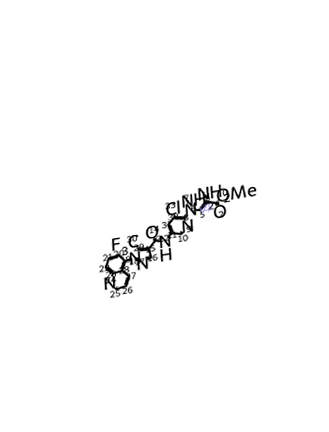 COC(=O)/C(N)=C/N(N)c1ncc(NC(=O)c2cnn(-c3cccc4ncccc34)c2C(F)(F)F)cc1Cl